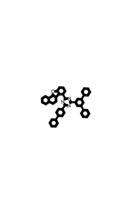 c1ccc(-c2ccc(-c3nc(-c4cc(-c5ccccc5)cc(-c5ccccc5)c4)nc(-c4cccc5oc6c7ccccc7ccc6c45)n3)cc2)cc1